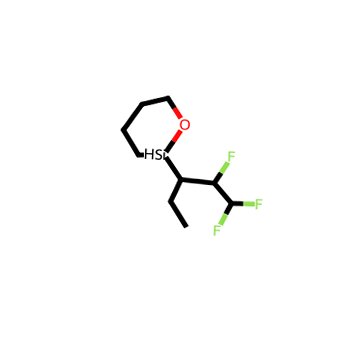 CCC(C(F)C(F)F)[SiH]1CCCCO1